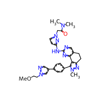 COCCn1cc(-c2ccc(-c3c4c(nn3C)CCc3cnc(Nc5ccn(CC(=O)N(C)C)n5)nc3-4)cc2)cn1